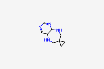 C1=NC=NC2NCC3(CC3)CNC12